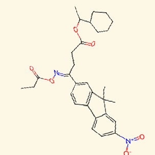 CCC(=O)O/N=C(/CCC(=O)OC(C)C1CCCCC1)c1ccc2c(c1)C(C)(C)c1cc([N+](=O)[O-])ccc1-2